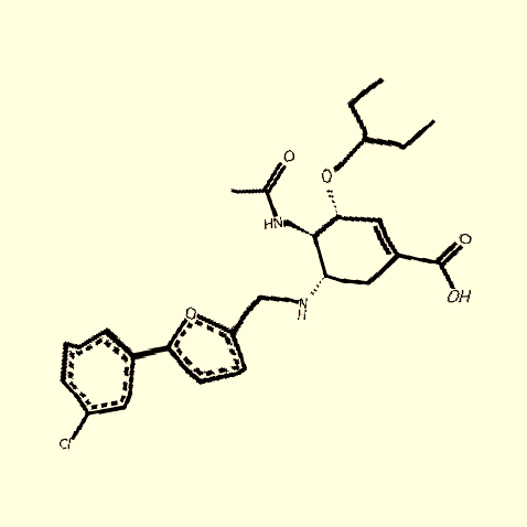 CCC(CC)O[C@@H]1C=C(C(=O)O)C[C@H](NCc2ccc(-c3cccc(Cl)c3)o2)[C@H]1NC(C)=O